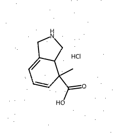 CC1(C(=O)O)C=CC=C2CNCC21.Cl